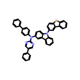 c1ccc(-c2ccc(N(c3ccc4c(c3)c3ccccc3n4-c3ccc4sc5ccccc5c4c3)c3ncc(-c4ccccc4)cn3)cc2)cc1